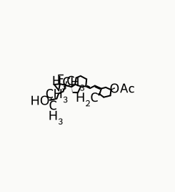 C=C1CC[C@H](OC(C)=O)C/C1=C/C=C1CCC[C@@]2(C)C1CC[C@@H]2[C@](C)(CCCC(C)(C)O)C1(F)CC1